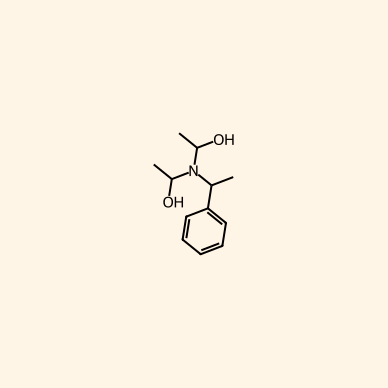 CC(O)N(C(C)O)C(C)c1ccccc1